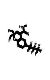 CNC(=S)C1=CC(CF)(CF)Oc2ccc(C(F)(F)C(F)(F)C(F)(F)F)cc21